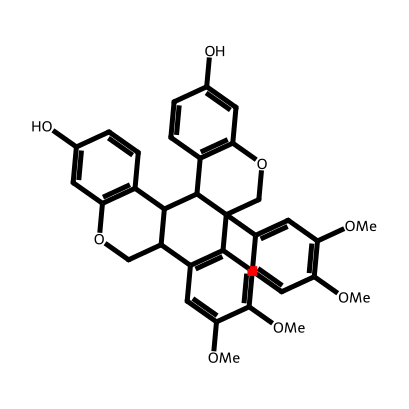 COc1ccc(C23COc4cc(O)ccc4C2C2c4ccc(O)cc4OCC2c2cc(OC)c(OC)cc23)cc1OC